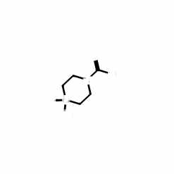 CC(=O)N1CC[N+](C)([O-])CC1